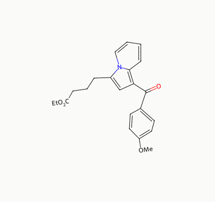 CCOC(=O)CCCc1cc(C(=O)c2ccc(OC)cc2)c2ccccn12